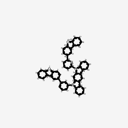 c1cc(-c2ccc3oc4ccccc4c3c2)cc(-n2c3ccccc3c3cc4c5ccccc5n(-c5cccc(-c6ccc7oc8ccccc8c7c6)n5)c4cc32)c1